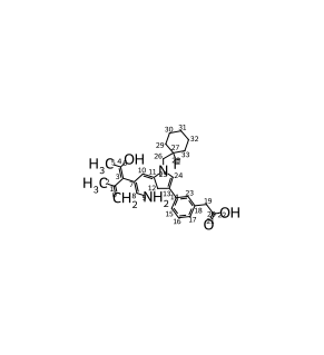 C=C(C)C(=C(C)O)C(=C/N)/C=C1\CC(c2cccc(CC(=O)O)c2)=CN1CC1(F)CCCCC1